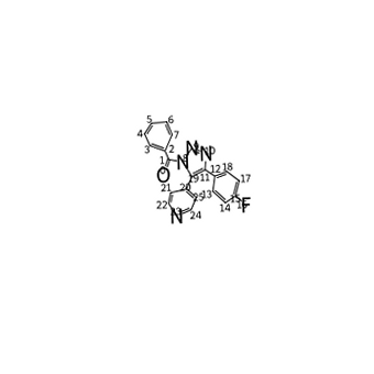 O=C(c1ccccc1)n1nnc(-c2ccc(F)cc2)c1-c1ccncc1